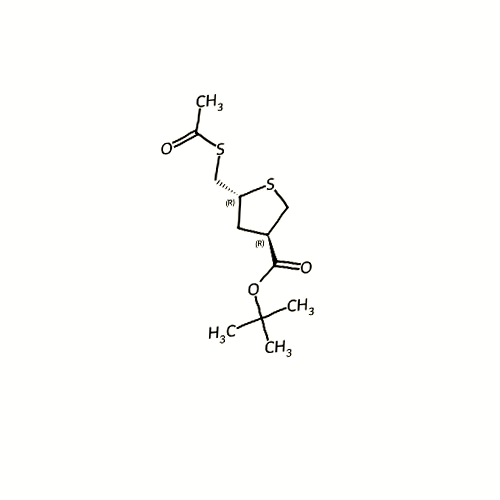 CC(=O)SC[C@H]1C[C@H](C(=O)OC(C)(C)C)CS1